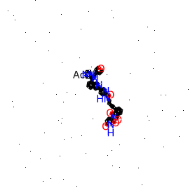 CC(=O)N1CCn2c(C3CCOCC3)nc(-c3cccc4cc(-c5ccc(C(=O)NCCC#Cc6cccc7c6C(=O)N(C6CCC(=O)NC6=O)C7=O)nc5)ncc34)c2C1